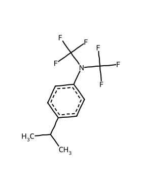 CC(C)c1ccc(N(C(F)(F)F)C(F)(F)F)cc1